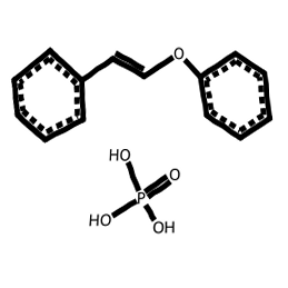 C(=Cc1ccccc1)Oc1ccccc1.O=P(O)(O)O